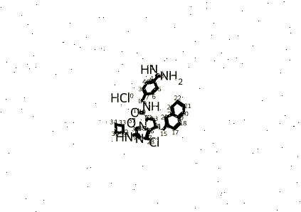 Cl.N=C(N)c1ccc(CNC(=O)[C@@H]2C[C@H](Cc3ccc4ccccc4c3)c3c(Cl)nc(NC4CCC4)c(=O)n32)cc1